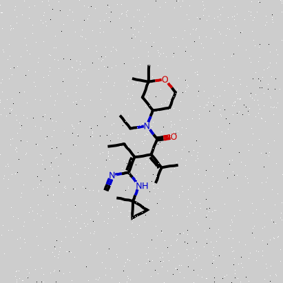 C=N/C(NC1(C)CC1)=C(\CC)C(C(=O)N(CC)C1CCOC(C)(C)C1)=C(C)C